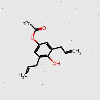 C=CCc1cc(OC(=O)CCC)cc(CC=C)c1O